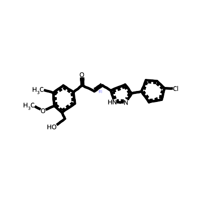 COc1c(C)cc(C(=O)/C=C/c2cc(-c3ccc(Cl)cc3)n[nH]2)cc1CO